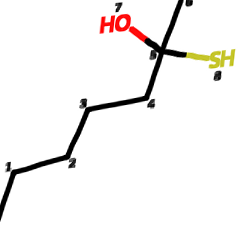 CCCCCC(C)(O)S